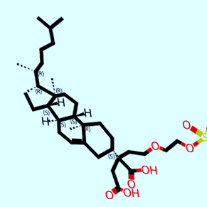 CC(C)CCC[C@@H](C)[C@H]1CC[C@H]2[C@@H]3CC=C4C[C@@H](C(CCOCCOS(C)(=O)=O)(CC(=O)O)C(=O)O)CC[C@]4(C)[C@H]3CC[C@]12C